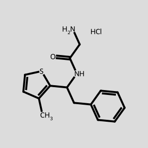 Cc1ccsc1C(Cc1ccccc1)NC(=O)CN.Cl